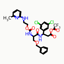 Cc1cccc(NCCOC(=O)NC(COCc2ccccc2)C(=O)NC(CC(=O)OC(=O)C(F)(F)F)c2cc(Cl)cc(Cl)c2)n1